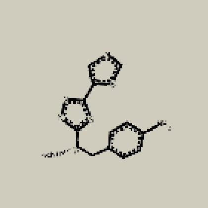 CC(=O)N[C@@H](Cc1ccc(N)cc1)c1nnc(-c2cncs2)s1